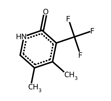 Cc1c[nH]c(=O)c(C(F)(F)F)c1C